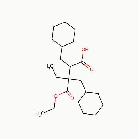 CCOC(=O)C(CC)(CC1CCCCC1)C(CC1CCCCC1)C(=O)O